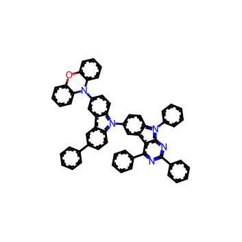 c1ccc(-c2ccc3c(c2)c2cc(N4c5ccccc5Oc5ccccc54)ccc2n3-c2ccc3c(c2)c2c(-c4ccccc4)nc(-c4ccccc4)nc2n3-c2ccccc2)cc1